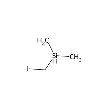 C[SiH](C)CI